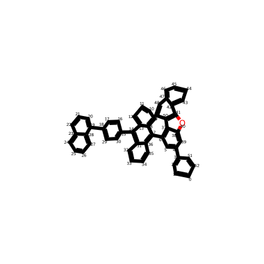 c1ccc(-c2cc(-c3c4ccccc4c(-c4ccc(-c5cccc6ccccc56)cc4)c4ccccc34)c3c(c2)oc2c4ccccc4ccc23)cc1